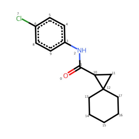 O=C(Nc1ccc(Cl)cc1)C1CC12CCCCC2